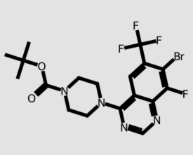 CC(C)(C)OC(=O)N1CCN(c2ncnc3c(F)c(Br)c(C(F)(F)F)cc23)CC1